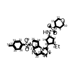 CC[C@@H]1C[C@H](NS(=O)(=O)C2CCOCC2)C[C@@H]1c1nnc2cnc3c(ccn3S(=O)(=O)c3ccc(C)cc3)n12